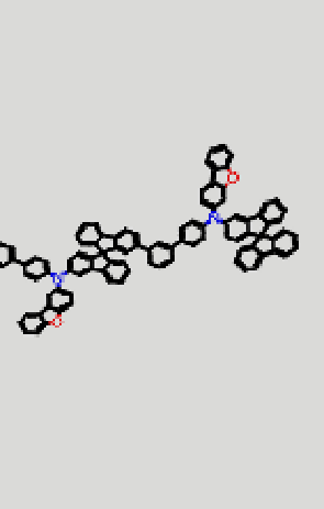 c1ccc(-c2ccc(N(c3ccc4c(c3)-c3ccccc3C43c4ccccc4-c4ccc(-c5cccc(-c6ccc(N(c7ccc8c(c7)-c7ccccc7C87c8ccccc8-c8ccccc87)c7ccc8c(c7)oc7ccccc78)cc6)c5)cc43)c3ccc4oc5ccccc5c4c3)cc2)cc1